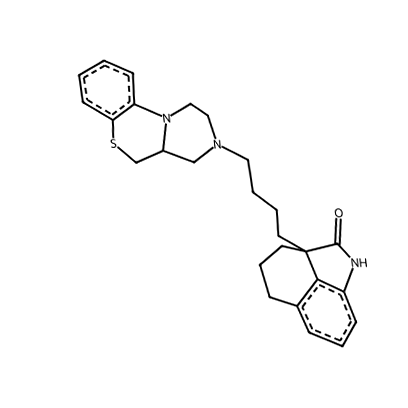 O=C1Nc2cccc3c2C1(CCCCN1CCN2c4ccccc4SCC2C1)CCC3